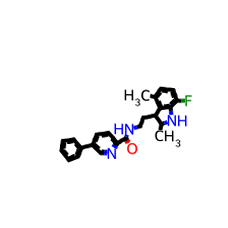 Cc1ccc(F)c2c1C(CCNC(=O)c1ccc(-c3ccccc3)cn1)C(C)N2